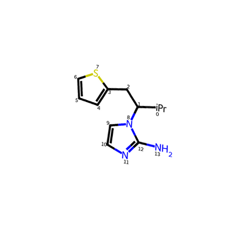 CC(C)C(Cc1cccs1)n1ccnc1N